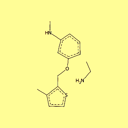 CCN.CNc1cccc(OCc2sccc2C)c1